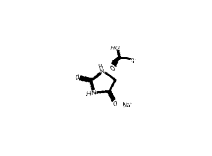 O=C([O-])O.O=C1CNC(=O)N1.[Na+]